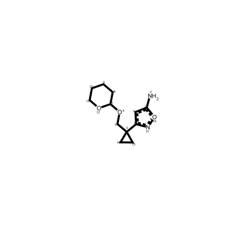 Nc1cc(C2(COC3CCCCO3)CC2)no1